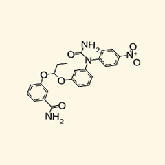 CCC(Oc1cccc(C(N)=O)c1)Oc1cccc(N(C(N)=O)c2ccc([N+](=O)[O-])cc2)c1